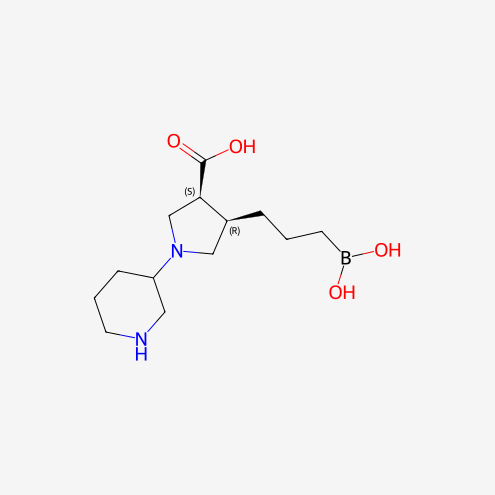 O=C(O)[C@@H]1CN(C2CCCNC2)C[C@@H]1CCCB(O)O